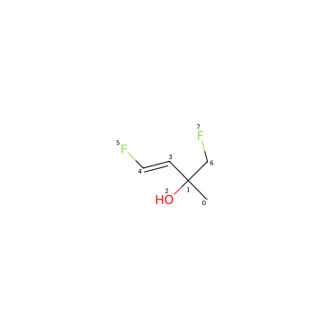 CC(O)(C=CF)CF